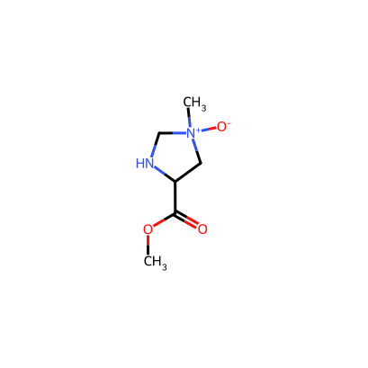 COC(=O)C1C[N+](C)([O-])CN1